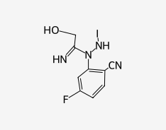 N#Cc1ccc(F)cc1N(NI)C(=N)CO